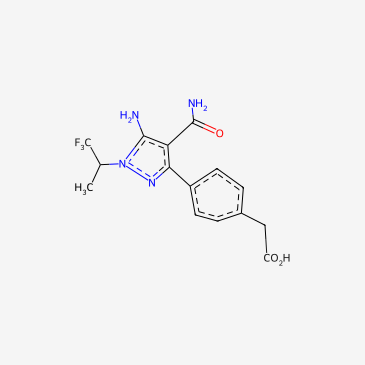 CC(n1nc(-c2ccc(CC(=O)O)cc2)c(C(N)=O)c1N)C(F)(F)F